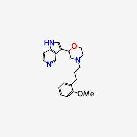 COc1ccccc1CCCN1CCOC(c2c[nH]c3ccncc23)C1